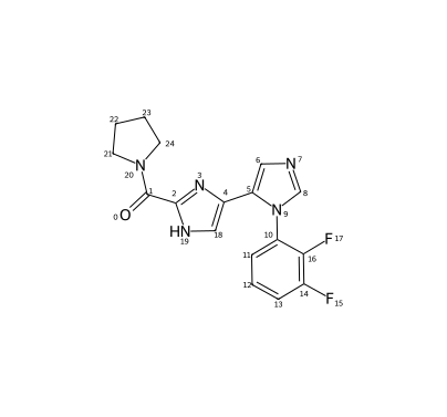 O=C(c1nc(-c2cncn2-c2cccc(F)c2F)c[nH]1)N1CCCC1